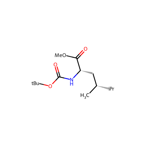 COC(=O)[C@H](C[C@@H](C)C(C)C)NC(=O)OC(C)(C)C